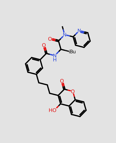 CCC(C)C(NC(=O)c1cccc(CCCc2c(O)c3ccccc3oc2=O)c1)C(=O)N(C)c1ccccn1